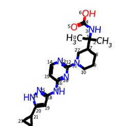 CC(C)(NC(=O)O)C1CCCN(c2nccc(Nc3cc(C4CC4)[nH]n3)n2)C1